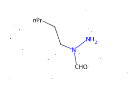 CCCCCN(N)[C]=O